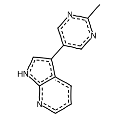 Cc1ncc(-c2c[nH]c3ncccc23)cn1